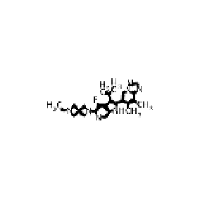 CCN1CC2(C1)CN(c1ncc3[nH]c(-c4cn5ncnc5c(C)c4C)c(C(C)C)c3c1F)C2